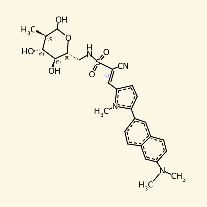 C[C@H]1C(O)O[C@H](CNS(=O)(=O)/C(C#N)=C/c2ccc(-c3ccc4cc(N(C)C)ccc4c3)n2C)[C@@H](O)[C@@H]1O